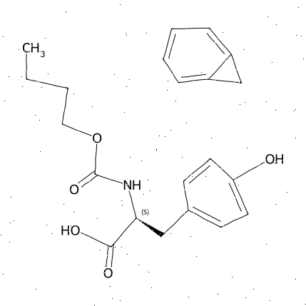 CCCCOC(=O)N[C@@H](Cc1ccc(O)cc1)C(=O)O.c1ccc2c(c1)C2